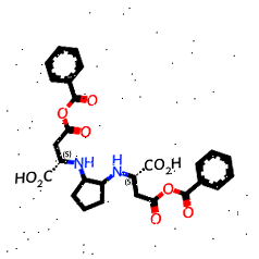 O=C(C[C@H](NC1CCCC1N[C@@H](CC(=O)OC(=O)c1ccccc1)C(=O)O)C(=O)O)OC(=O)c1ccccc1